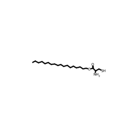 CCCCCCCCCCCCCCCCCCOC(=O)C(N)CS